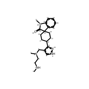 CNCCN(C)Cc1c[nH]nc1C1CCC2(CC1)C(=O)N(C)c1ccccc12